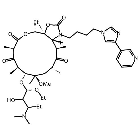 CCO[C@@H](O[C@@H]1[C@@H](C)C(=O)[C@@H](C)C(=O)O[C@H](CC)[C@@]2(C)OC(=O)N(CCCCn3cnc(-c4cccnc4)c3)[C@@H]2[C@@H](C)C(=O)[C@H](C)C[C@@]1(C)OC)C(O)C(CC)N(C)C